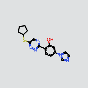 Oc1cc(-n2ccnc2)ccc1-c1ncc(SC2CCCC2)nn1